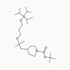 CC(C)[Si](OCCCOC(C)(C)CC1CCN(C(=O)OC(C)(C)C)CC1)(C(C)C)C(C)C